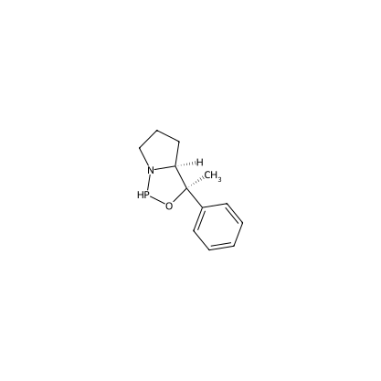 C[C@]1(c2ccccc2)OPN2CCC[C@H]21